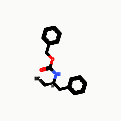 N#CC[C@H](Cc1ccccc1)NC(=O)OCc1ccccc1